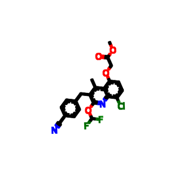 COC(=O)COc1ccc(Cl)c2nc(OC(F)F)c(Cc3ccc(C#N)cc3)c(C)c12